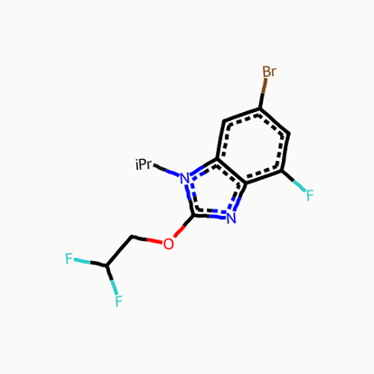 CC(C)n1c(OCC(F)F)nc2c(F)cc(Br)cc21